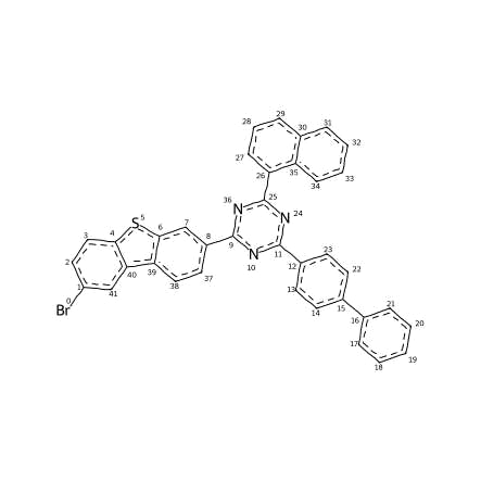 Brc1ccc2sc3cc(-c4nc(-c5ccc(-c6ccccc6)cc5)nc(-c5cccc6ccccc56)n4)ccc3c2c1